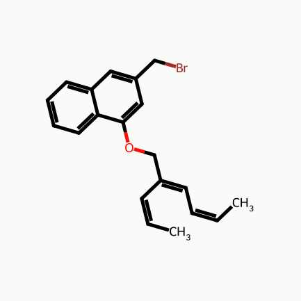 C\C=C/C=C(\C=C/C)COc1cc(CBr)cc2ccccc12